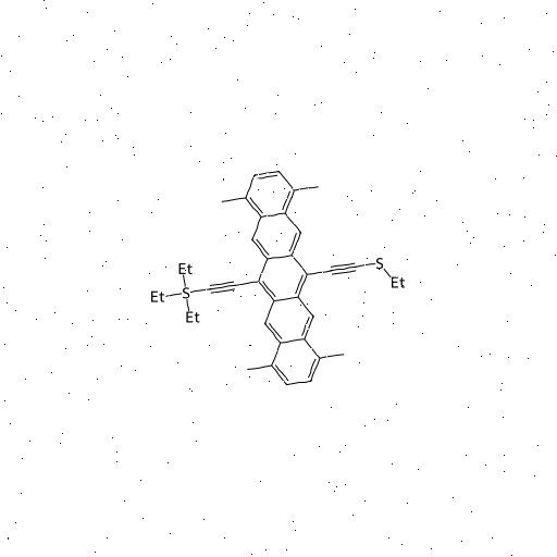 CCSC#Cc1c2cc3c(C)ccc(C)c3cc2c(C#CS(CC)(CC)CC)c2cc3c(C)ccc(C)c3cc12